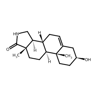 C[C@]12CC[C@H](O)CC1=CC[C@@H]1[C@@H]2CC[C@]2(C)C(=O)NC[C@@H]12